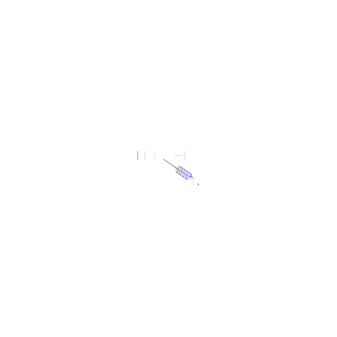 CC#N.I